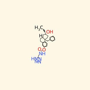 CC#C[C@@]1(O)CC[C@]2(Cc3ccccc3)c3ccc(OC(=O)NCc4nnn[nH]4)cc3CC[C@H]2C1